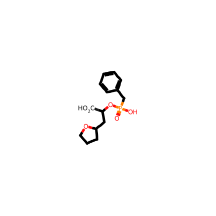 O=C(O)C(CC1CCCO1)OP(=O)(O)Cc1ccccc1